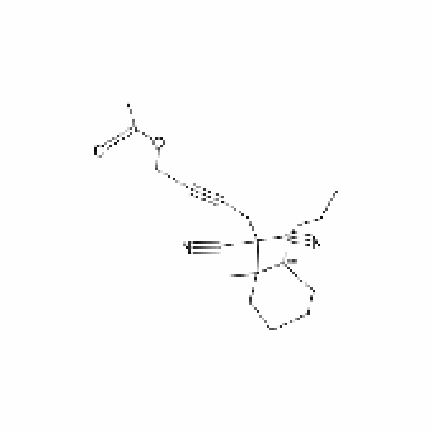 CCC[C@@H]1CCCCC1(C)C(C#N)(C#N)CC#CCOC(C)=O